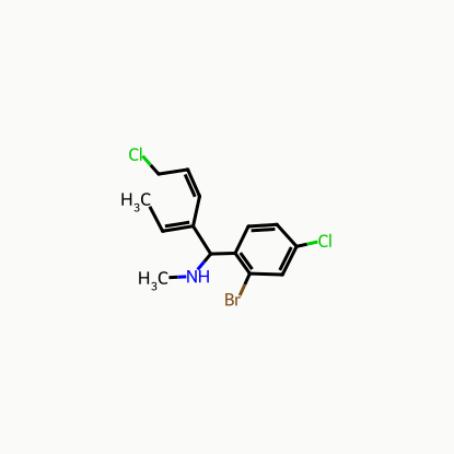 C/C=C(\C=C/CCl)C(NC)c1ccc(Cl)cc1Br